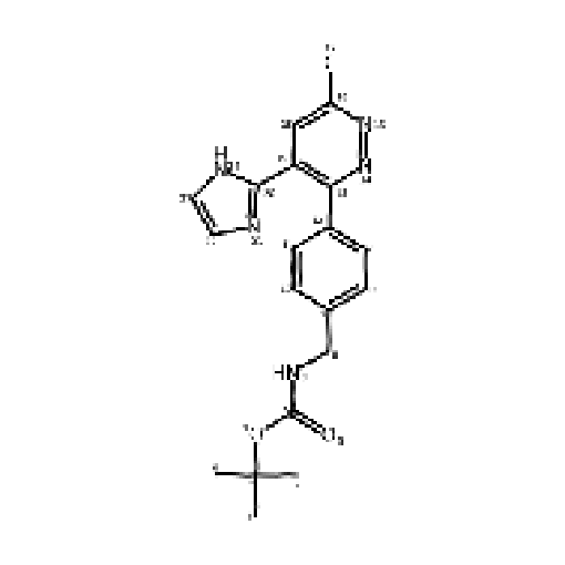 CC(C)(C)OC(=O)NCc1ccc(-c2nnc(Cl)cc2-c2ncc[nH]2)cc1